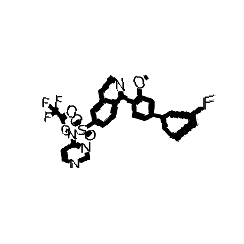 COc1cc(-c2cccc(F)c2)ccc1-c1nccc2cc(S(=O)(=O)N(OC(=O)C(F)(F)F)c3ccncn3)ccc12